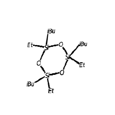 CCC(C)[Si]1(CC)O[Si](CC)(C(C)CC)O[Si](CC)(C(C)CC)O1